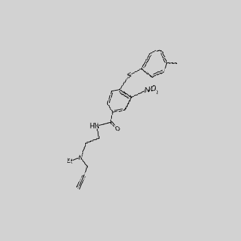 C#CCN(CC)CCNC(=O)c1ccc(Sc2ccc(C)cc2)c([N+](=O)[O-])c1